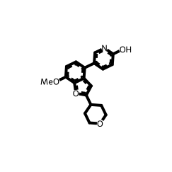 COc1ccc(-c2ccc(O)nc2)c2cc(C3CCOCC3)oc12